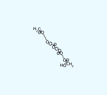 C=CC(=O)OCCCCCCOc1ccc(C(=O)Oc2ccc(OC(=O)OCCCCOC(=O)C(=C)CO)cc2)cc1